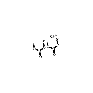 O=[Si](O[S-])OI.O=[Si](O[S-])OI.[Ca+2]